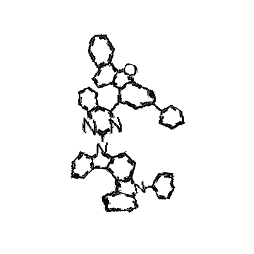 c1ccc(-c2cc(-c3nc(-n4c5ccccc5c5c6c7ccccc7n(-c7ccccc7)c6ccc54)nc4ccccc34)c3c(c2)oc2c4ccccc4ccc23)cc1